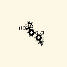 OCC1(c2cccc(Oc3ccc(C(F)(F)F)cc3Cl)c2)OCCO1